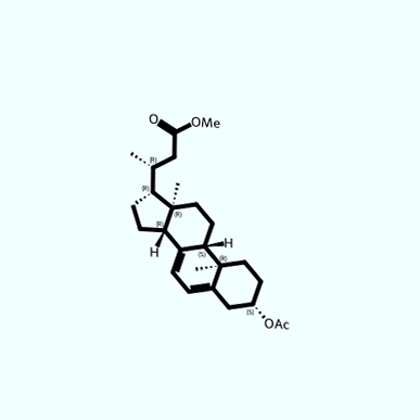 COC(=O)C[C@@H](C)[C@H]1CC[C@H]2C3=CC=C4C[C@@H](OC(C)=O)CC[C@]4(C)[C@H]3CC[C@]12C